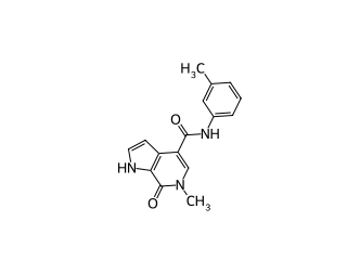 Cc1cccc(NC(=O)c2cn(C)c(=O)c3[nH]ccc23)c1